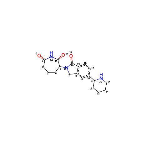 O=C1CCCC(N2Cc3cc(C4CCCCN4)ccc3C2=O)C(=O)N1